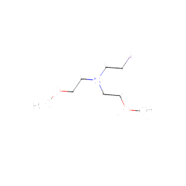 COCCN(CCI)CCOC